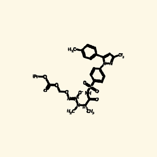 Cc1ccc(-c2cc(C(F)(F)F)nn2-c2ccc(S(=O)(=O)NC(=O)[C@H](C)N(C)[N+]([O-])=NOCOC(=O)OC(C)C)cc2)cc1